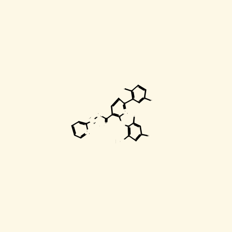 Cc1cc(C)c(Oc2nc(-c3cc(F)ccc3O)ccc2C(=O)NS(=O)(=O)c2ccccn2)c(C)c1